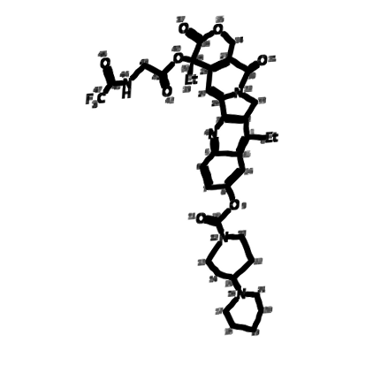 CCc1c2c(nc3ccc(OC(=O)N4CCC(N5CCCCC5)CC4)cc13)-c1cc3c(c(=O)n1C2)COC(=O)[C@@]3(CC)OC(=O)CNC(=O)C(F)(F)F